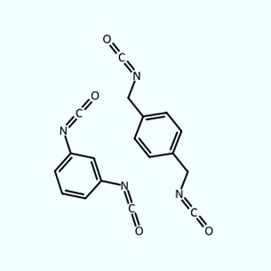 O=C=NCc1ccc(CN=C=O)cc1.O=C=Nc1cccc(N=C=O)c1